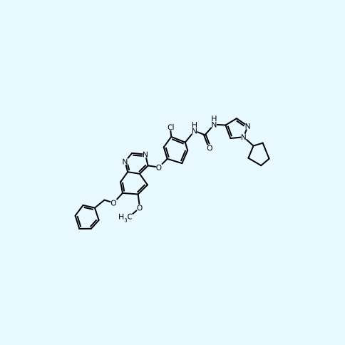 COc1cc2c(Oc3ccc(NC(=O)Nc4cnn(C5CCCC5)c4)c(Cl)c3)ncnc2cc1OCc1ccccc1